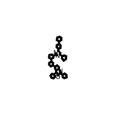 c1ccc(-c2ccc(-c3cc(-c4ccccc4)nc(-c4cccc(-c5cccc(-c6ccc7nc(-c8ccccc8)c8oc9ccccc9c8c7c6)c5)c4)n3)cc2)cc1